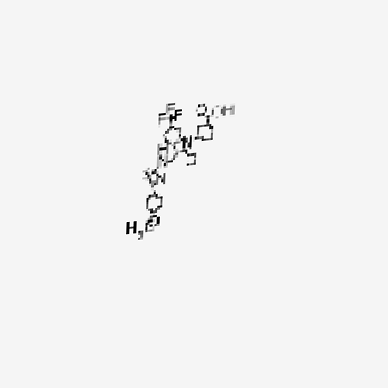 COc1ccc(-c2csc(N/C=C3/C(=O)N(c4cccc(C(=O)O)c4)c4cc(C(F)(F)F)ccc43)n2)cc1